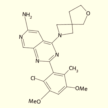 COc1cc(OC)c(Cl)c(-c2nc(N3CC4(CCOC4)C3)c3cc(N)ncc3n2)c1C